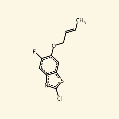 CC=CCOc1cc2sc(Cl)nc2cc1F